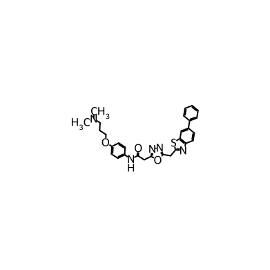 CN(C)CCCOc1ccc(NC(=O)Cc2nnc(Cc3nc4ccc(-c5ccccc5)cc4s3)o2)cc1